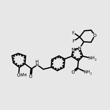 COc1ccccc1C(=O)NCc1ccc(-c2nn(C3COCCC3(F)F)c(N)c2C(N)=O)cc1